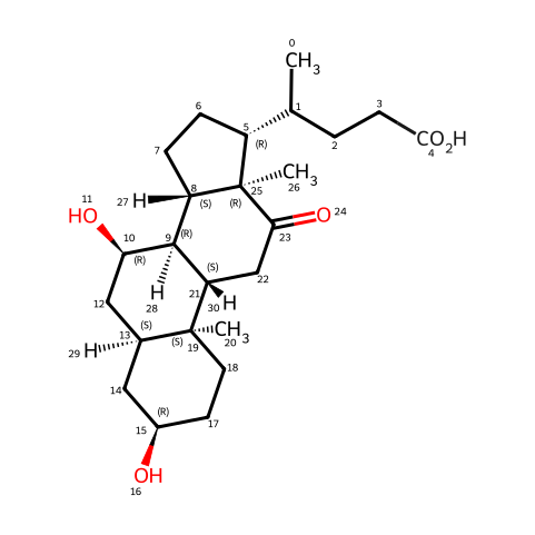 CC(CCC(=O)O)[C@H]1CC[C@H]2[C@@H]3[C@H](O)C[C@@H]4C[C@H](O)CC[C@]4(C)[C@H]3CC(=O)[C@]12C